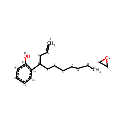 C1CO1.C=CCC(CCCCCCC)c1ccccc1O